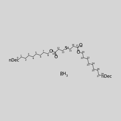 CCCCCCCCCCCCCCCCCCOC(=O)CCSCCC(=O)OCCCCCCCCCCCCCCCCCC.P